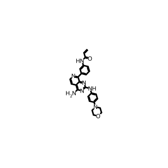 C=CC(=O)Nc1cccc(-c2nccc3c(N)nc(Nc4ccc(N5CCOCC5)cc4)nc23)c1